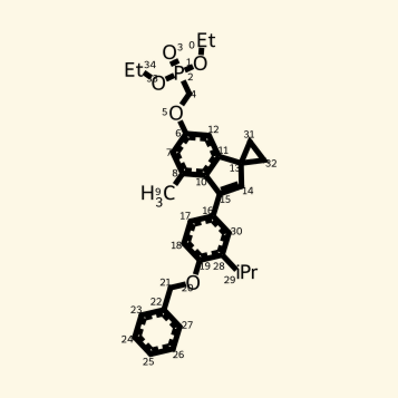 CCOP(=O)(COc1cc(C)c2c(c1)C1(C=C2c2ccc(OCc3ccccc3)c(C(C)C)c2)CC1)OCC